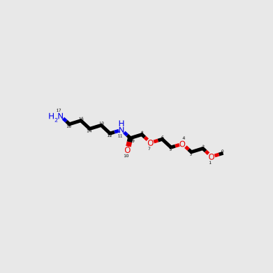 COCCOCCOCC(=O)NCCCCCN